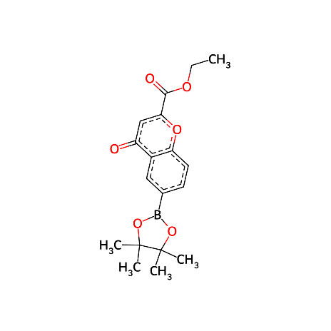 CCOC(=O)c1cc(=O)c2cc(B3OC(C)(C)C(C)(C)O3)ccc2o1